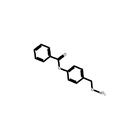 O=C(Oc1ccc(CO[N+](=O)[O-])cc1)c1ccccc1